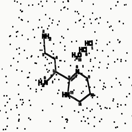 Cl.Cl.NCCC(N)C1=NCCCN1.O